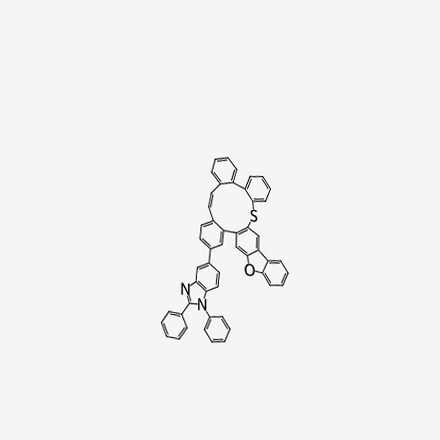 C1=C\c2ccc(-c3ccc4c(c3)nc(-c3ccccc3)n4-c3ccccc3)cc2-c2cc3oc4ccccc4c3cc2Sc2ccccc2-c2ccccc2/1